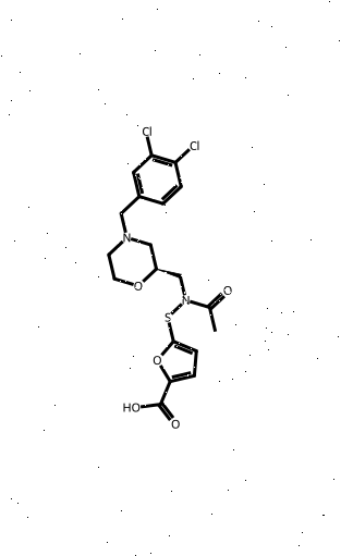 CC(=O)N(C[C@@H]1CN(Cc2ccc(Cl)c(Cl)c2)CCO1)Sc1ccc(C(=O)O)o1